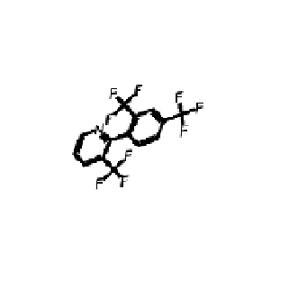 FC(F)(F)c1ccc(-c2ncccc2C(F)(F)F)c(C(F)(F)F)c1